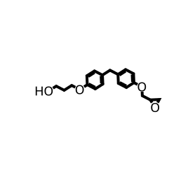 OCCCOc1ccc(Cc2ccc(OCC3CO3)cc2)cc1